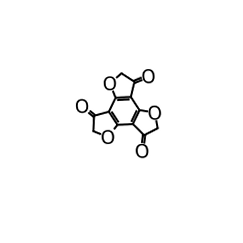 O=C1COc2c1c1c(c3c2C(=O)CO3)C(=O)CO1